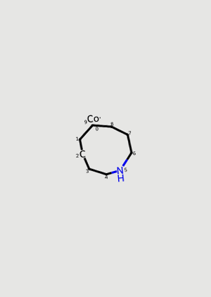 C1CCCCNCCC1.[Co]